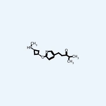 CN[C@H]1C[C@@H](Oc2ccc(CCC(=O)C(C)C)cn2)C1